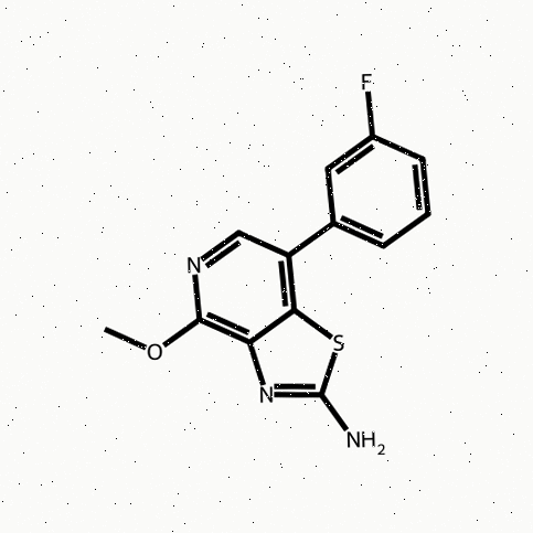 COc1ncc(-c2cccc(F)c2)c2sc(N)nc12